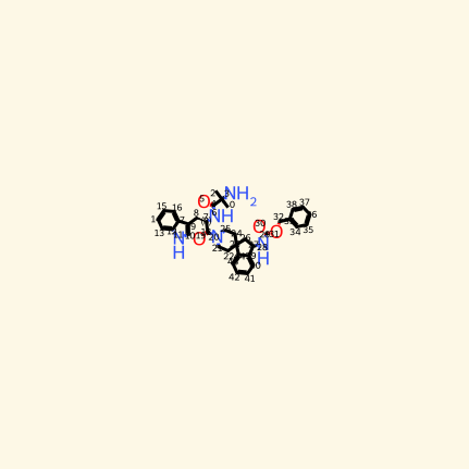 CC(C)(N)C(=O)N[C@H](Cc1c[nH]c2ccccc12)C(=O)N1CCC2(CC1)CC(NC(=O)OCc1ccccc1)c1ccccc12